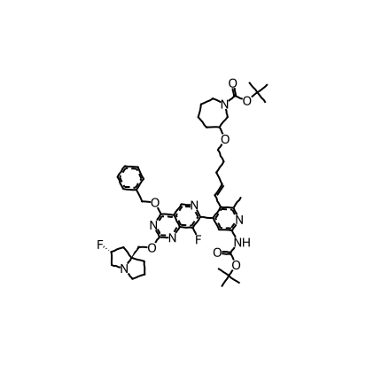 Cc1nc(NC(=O)OC(C)(C)C)cc(-c2ncc3c(OCc4ccccc4)nc(OC[C@@]45CCCN4C[C@H](F)C5)nc3c2F)c1/C=C/CCCOC1CCCCN(C(=O)OC(C)(C)C)C1